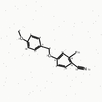 COc1ccc(COc2ccc(C#N)c(F)c2)cc1